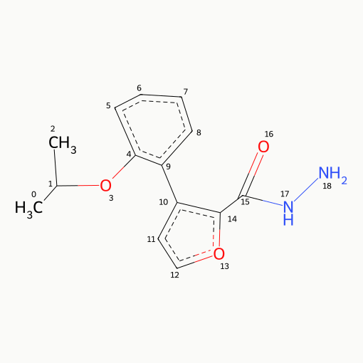 CC(C)Oc1ccccc1-c1ccoc1C(=O)NN